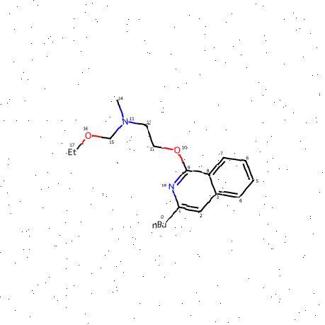 CCCCc1cc2ccccc2c(OCCN(C)COCC)n1